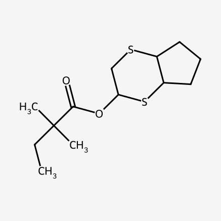 CCC(C)(C)C(=O)OC1CSC2CCCC2S1